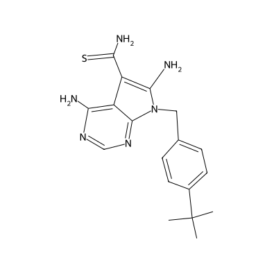 CC(C)(C)c1ccc(Cn2c(N)c(C(N)=S)c3c(N)ncnc32)cc1